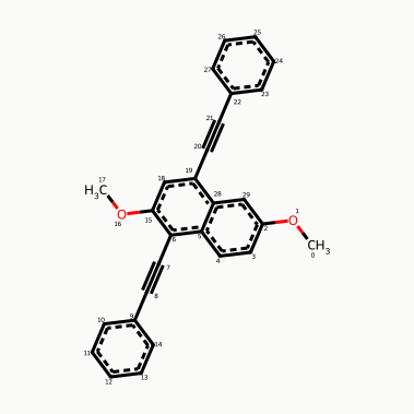 COc1ccc2c(C#Cc3ccccc3)c(OC)cc(C#Cc3ccccc3)c2c1